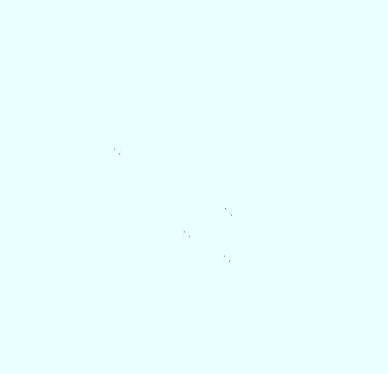 c1ccc2c(c1)-c1ccccc1-n1c3cc4c5ccccc5n(-c5nc(-c6cccc7ccccc67)c6oc7ccccc7c6n5)c4cc3c3cccc-2c31